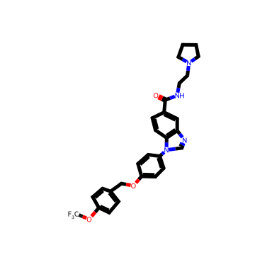 O=C(NCCN1CCCC1)c1ccc2c(c1)ncn2-c1ccc(OCc2ccc(OC(F)(F)F)cc2)cc1